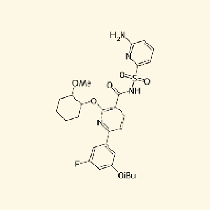 COC1CCCCC1Oc1nc(-c2cc(F)cc(OCC(C)C)c2)ccc1C(=O)NS(=O)(=O)c1cccc(N)n1